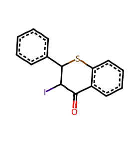 O=C1c2ccccc2SC(c2ccccc2)C1I